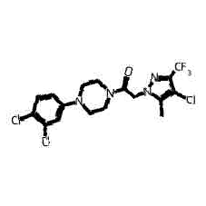 Cc1c(Cl)c(C(F)(F)F)nn1CC(=O)N1CCN(c2ccc(Cl)c(Cl)c2)CC1